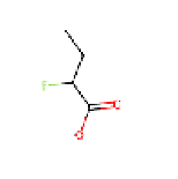 CCC(F)C([O])=O